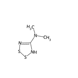 CN(C)C1=NSSN1